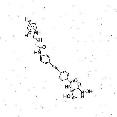 C[C@@H](O)[C@H](NC(=O)c1ccc(C#Cc2ccc(NC(=O)CNC[C@@H]3CC[C@H]4C[C@@H]3C4(C)C)cc2)cc1)C(=O)NO